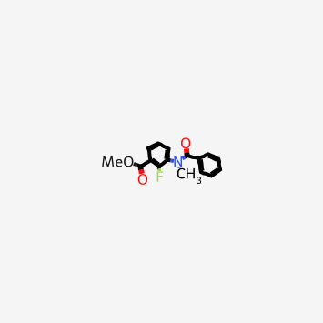 COC(=O)c1cccc(N(C)C(=O)c2ccccc2)c1F